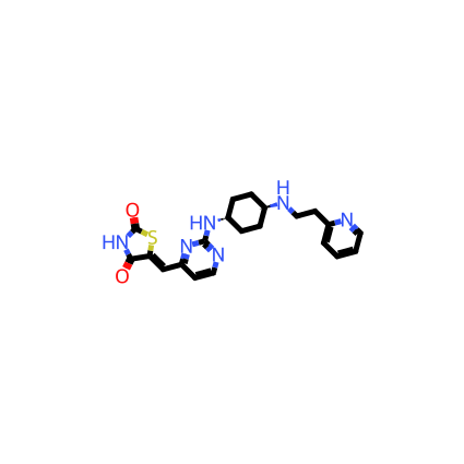 O=C1NC(=O)C(=Cc2ccnc(N[C@H]3CC[C@H](NCCc4ccccn4)CC3)n2)S1